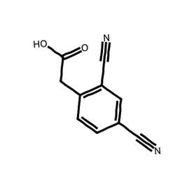 N#Cc1ccc(CC(=O)O)c(C#N)c1